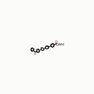 COC(=O)c1ccc(-c2ccc(-c3ccc(-c4ccc(C(=O)c5ccccc5)cc4)cc3)cc2)cc1